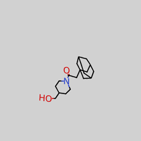 O=C(CC12CC3CC(CC(C3)C1)C2)N1CCC(CO)CC1